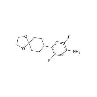 Nc1cc(F)c(C2CCC3(CC2)OCCO3)cc1F